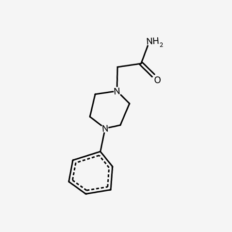 NC(=O)CN1CCN(c2ccccc2)CC1